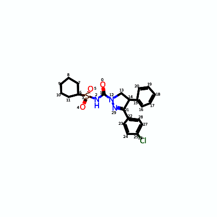 O=C(NS(=O)(=O)C1CCCCC1)N1CC(c2ccccc2)C(c2ccc(Cl)cc2)=N1